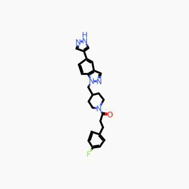 O=C(CCc1ccc(F)cc1)N1CCC(Cn2ncc3cc(-c4cn[nH]c4)ccc32)CC1